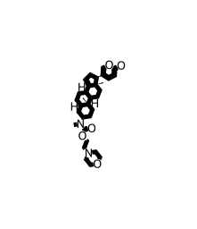 CN(C(=O)OCCN1CCOCC1)[C@H]1CC[C@@]2(C)[C@H](CC[C@H]3C4=CC[C@H](c5ccc(=O)oc5)[C@@]4(C)CC[C@@H]32)C1